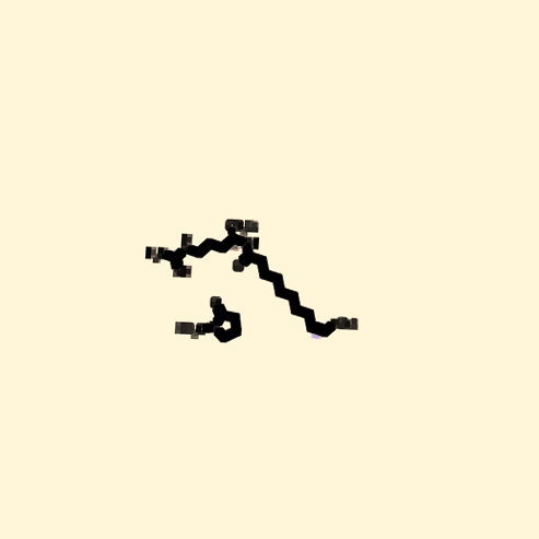 CCCCCCCC/C=C\CCCCCCCC(=O)N[C@@H](CCCNC(=N)N)C(=O)OCC.O=C(O)N1CCCC1=O